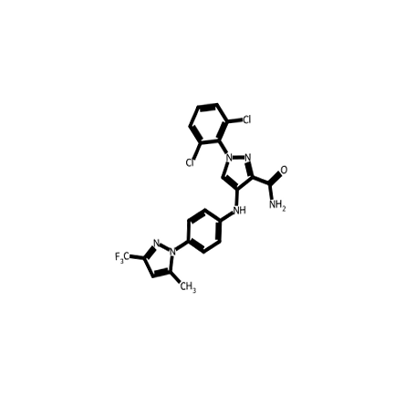 Cc1cc(C(F)(F)F)nn1-c1ccc(Nc2cn(-c3c(Cl)cccc3Cl)nc2C(N)=O)cc1